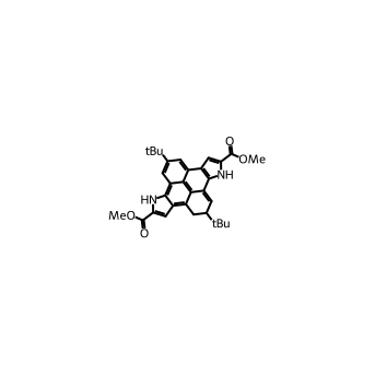 COC(=O)c1cc2c([nH]1)c1c3c(c4cc(C(=O)OC)[nH]c4c4cc(C(C)(C)C)cc2c34)CC(C(C)(C)C)C=1